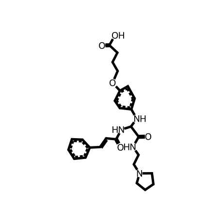 O=C(O)CCCOc1ccc(NC(NC(=O)/C=C/c2ccccc2)C(=O)NCCN2CCCC2)cc1